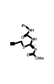 C#CCS/C(=N\C(=O)OC)NC(=O)NC(C)C